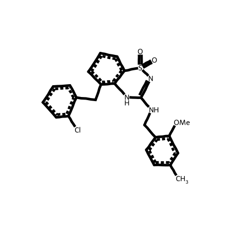 COc1cc(C)ccc1CNC1=NS(=O)(=O)c2cccc(Cc3ccccc3Cl)c2N1